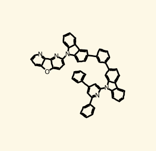 c1ccc(-c2cc(-c3ccccc3)nc(-n3c4ccccc4c4ccc(-c5cccc(-c6ccc7c(c6)c6ccccc6n7-c6ccc7oc8cccnc8c7n6)c5)cc43)c2)cc1